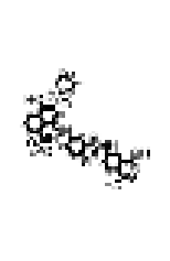 CS(=O)(=O)Nc1cccc2c(O)c(S(=O)(=O)N3CCOCC3)cc(/N=N/c3ccc(Cl)c(S(=O)(=O)Nc4ccc(C(=O)O)c(C(=O)O)c4)c3)c12